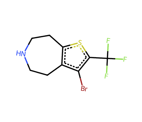 FC(F)(F)c1sc2c(c1Br)CCNCC2